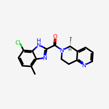 Cc1ccc(Cl)c2[nH]c(C(=O)N3CCc4ncccc4[C@H]3C)nc12